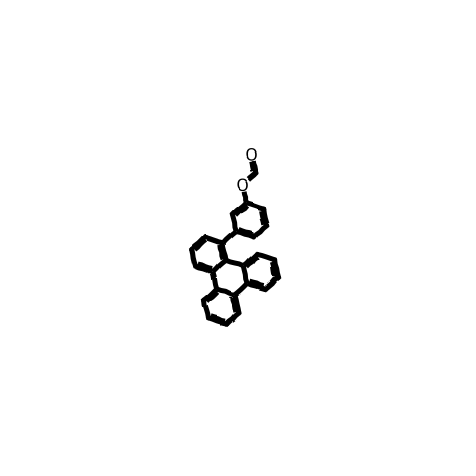 O=COc1cccc(-c2cccc3c4ccccc4c4ccccc4c23)c1